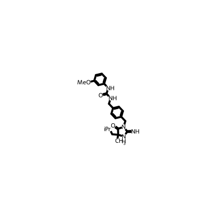 COc1cccc(NC(=O)NCc2ccc(CN3C(=N)NC(C)(CC(C)C)C3=O)cc2)c1